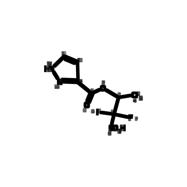 O=C(OC(C(F)(F)F)C(F)(F)S(=O)(=O)O)c1cc[nH]n1